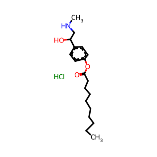 CCCCCCCCCC(=O)Oc1ccc(C(O)CNC)cc1.Cl